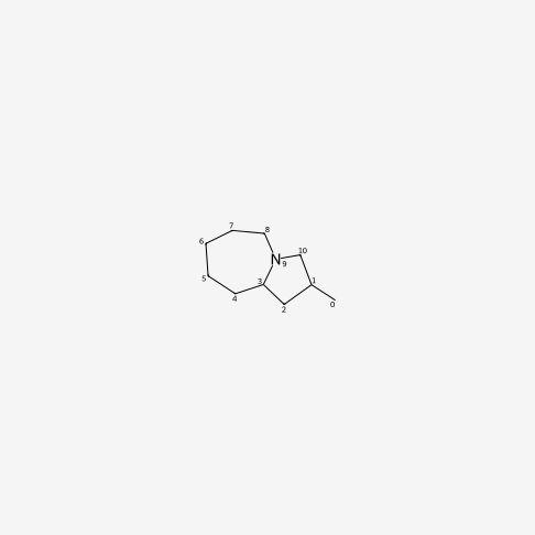 CC1CC2CCCCCN2C1